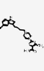 Cc1nc(N2CCN(CCCCc3c[nH]c4ccc(C#N)cc34)CC2)sc1C(N)=O